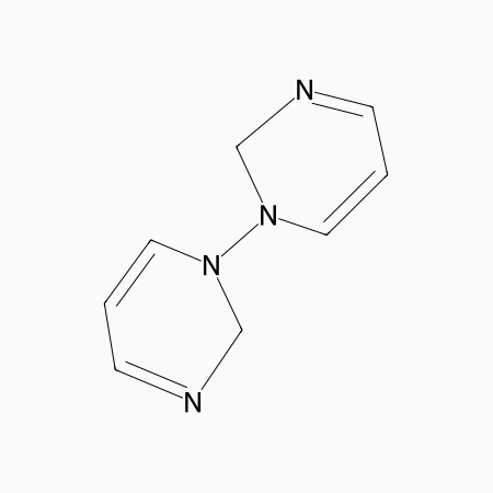 C1=CN(N2C=CC=NC2)CN=C1